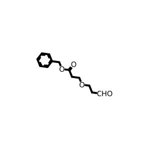 O=CCCOCCC(=O)OCc1ccccc1